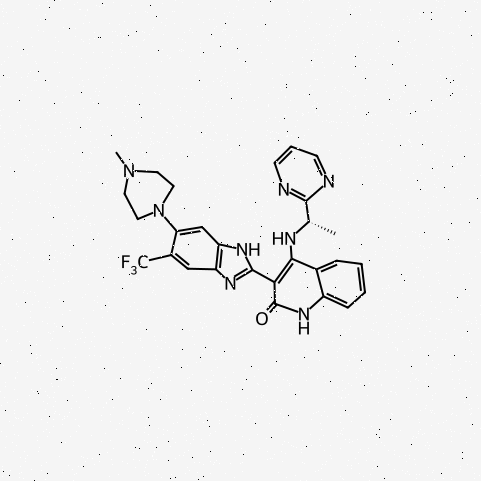 C[C@H](Nc1c(-c2nc3cc(C(F)(F)F)c(N4CCN(C)CC4)cc3[nH]2)c(=O)[nH]c2ccccc12)c1ncccn1